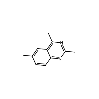 [CH2]c1nc(C)c2cc(C)ccc2n1